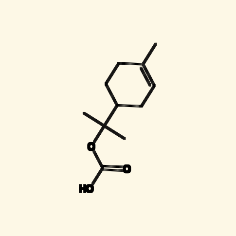 CC1=CCC(C(C)(C)OC(=O)O)CC1